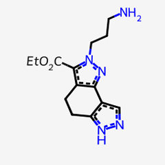 CCOC(=O)c1c2c(nn1CCCN)-c1cn[nH]c1CC2